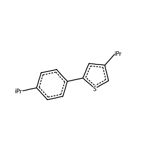 CC(C)c1ccc(-c2cc(C(C)C)cs2)cc1